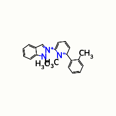 Cc1ccccc1-c1cccc(-[n+]2cc3ccccc3n2C)[n+]1C